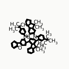 CC(C)(C)c1ccc(N2B3c4cc5c(cc4-n4c6ccc(C(C)(C)C)cc6c6c7c(c(c3c64)-c3cc4oc6ccccc6c4cc32)-c2ccccc2C7(C)C)C(C)(C)c2ccccc2-5)cc1